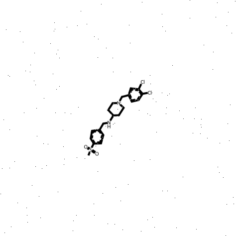 CS(=O)(=O)c1ccc(CNC2CCN(Cc3ccc(Cl)c(Cl)c3)CC2)cc1